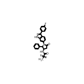 CC(F)(F)C(=O)NC1CC(=O)N(c2ccc3c(-c4ccc(F)cc4)n[nH]c3c2)C1c1ccccc1